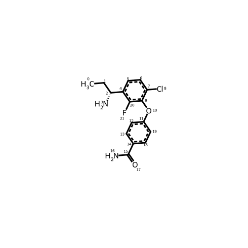 CC[C@@H](N)c1ccc(Cl)c(Oc2ccc(C(N)=O)cc2)c1F